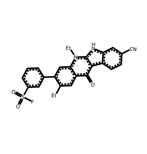 CCc1cc2c(=O)c3c4ccc(C#N)cc4[nH]c3n(CC)c2cc1-c1cccc(S(=O)(=O)F)c1